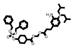 CC(C)CN(CC(C)C)c1ccc(CCC(=O)OCOC(=O)C2CCC(OP(=O)(OCc3ccccc3)OCc3ccccc3)CC2)cc1N